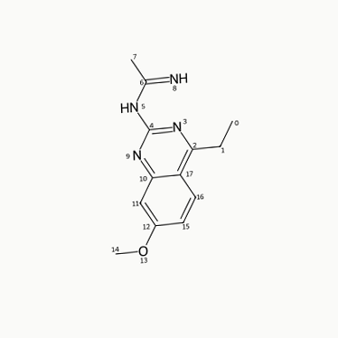 CCc1nc(NC(C)=N)nc2cc(OC)ccc12